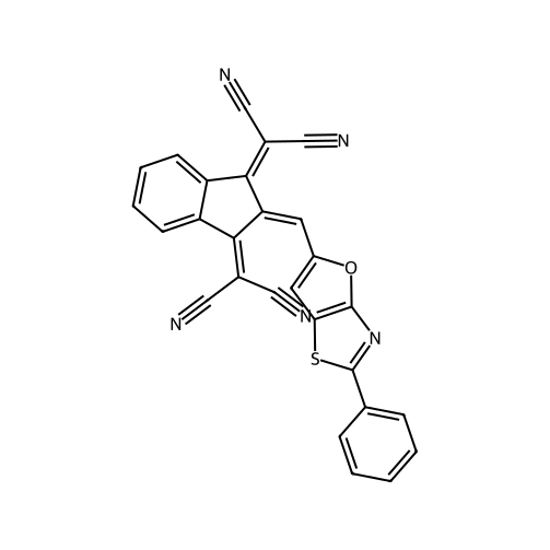 N#CC(C#N)=C1C(=Cc2cc3sc(-c4ccccc4)nc3o2)C(=C(C#N)C#N)c2ccccc21